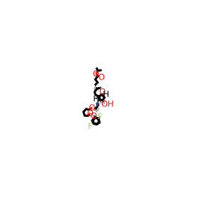 CC(C)OC(=O)CCC[C@H]1CC[C@@H]2[C@@H](/C=C/[C@H](COc3cc(F)ccc3F)OC3CCCCO3)[C@@H](O)C[C@@H]2OC1